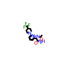 CNC(=O)C(NC(C)=O)c1cccc(N2CCC(C(F)(F)F)CC2)n1